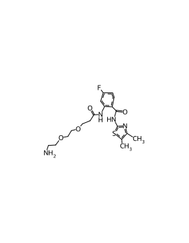 Cc1nc(NC(=O)c2ccc(F)cc2NC(=O)CCOCCOCCN)sc1C